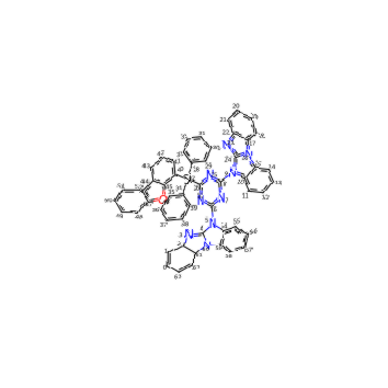 C1=CC2N=C3N(c4nc(-n5c6ccccc6n6c7ccccc7nc56)nc([Si](c5ccccc5)(c5ccccc5)c5cccc6c5oc5ccccc56)n4)c4ccccc4N3C2C=C1